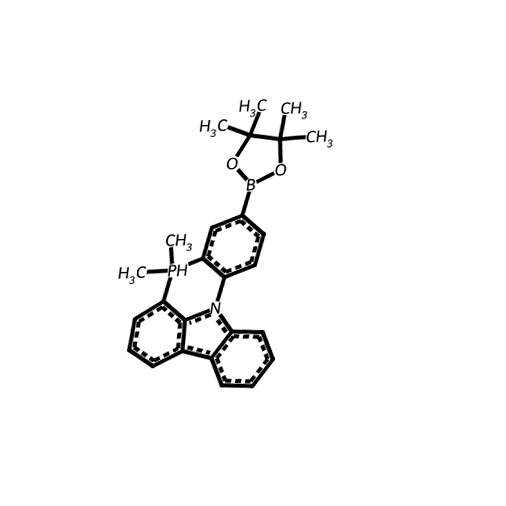 CC1(C)OB(c2ccc3c(c2)[PH](C)(C)c2cccc4c5ccccc5n-3c24)OC1(C)C